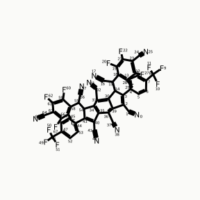 N#CC1=C(c2ccc(C(F)(F)F)cc2)C(C(C#N)c2c(F)c(F)c(C#N)c(F)c2F)c2c(C#N)c3c(c(C#N)c21)C(C#N)=C(c1ccc(C(F)(F)F)cc1)C3C(C#N)c1c(F)c(F)c(C#N)c(F)c1F